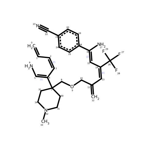 C=C/C=C\C(=C/N)C1(COCC(=C)/C=C(\C=C(/N)c2ccc(C#N)cc2)C(F)(F)F)CCN(C)CC1